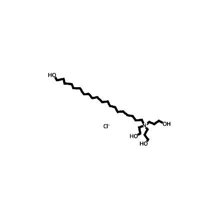 OCCCCCCCCCCCCCCCCCCCC[N+](CCO)(CCCO)CCCO.[Cl-]